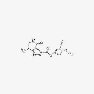 COc1ccc(NC(=O)c2cnn3c2C(=O)NCC3C)cc1C#N